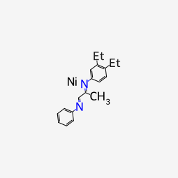 CCc1ccc(/N=C(C)/C=N/c2ccccc2)cc1CC.[Ni]